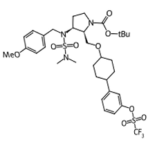 COc1ccc(CN([C@H]2CCN(C(=O)OC(C)(C)C)[C@H]2COC2CCC(c3cccc(OS(=O)(=O)C(F)(F)F)c3)CC2)S(=O)(=O)N(C)C)cc1